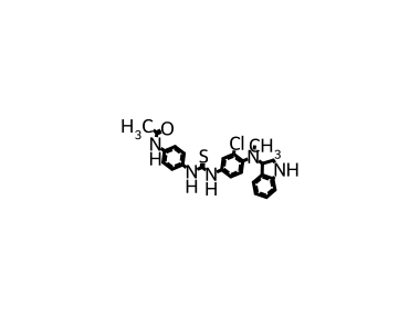 CC(=O)Nc1ccc(NC(=S)Nc2ccc(N(C)C3CNc4ccccc43)c(Cl)c2)cc1